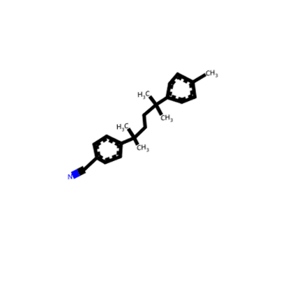 Cc1ccc(C(C)(C)CCC(C)(C)c2ccc(C#N)cc2)cc1